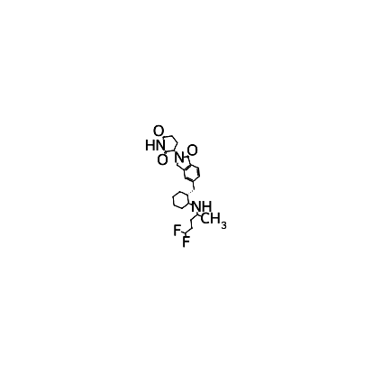 CC(CCC(F)F)N[C@H]1CCCC[C@@H]1Cc1ccc2c(c1)CN(C1CCC(=O)NC1=O)C2=O